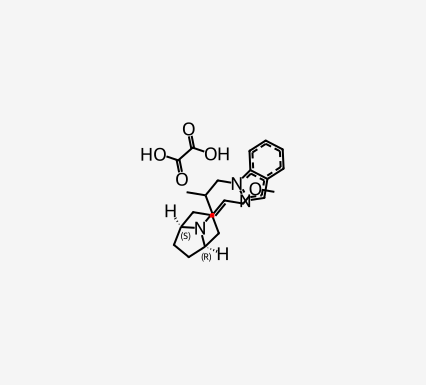 COCC=C1C[C@H]2CC[C@@H](C1)N2CC(C)Cn1ncc2ccccc21.O=C(O)C(=O)O